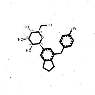 CCCc1ccc(Cc2cc([C@@H]3O[C@H](CO)[C@@H](O)[C@H](O)[C@H]3O)cc3c2CCC3)cc1